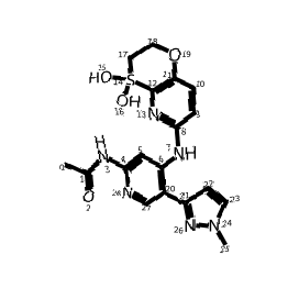 CC(=O)Nc1cc(Nc2ccc3c(n2)S(O)(O)CCO3)c(-c2ccn(C)n2)cn1